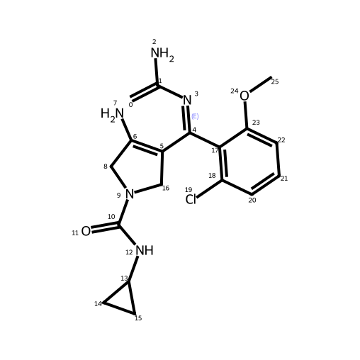 C=C(N)/N=C(\C1=C(N)CN(C(=O)NC2CC2)C1)c1c(Cl)cccc1OC